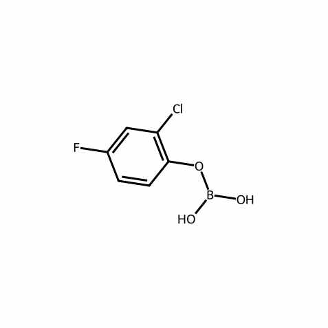 OB(O)Oc1ccc(F)cc1Cl